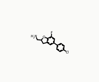 NCC1Cc2cc(-c3ccc(Cl)cc3)cc(F)c2O1